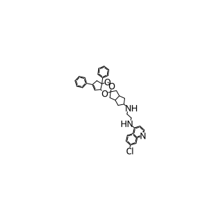 Clc1ccc2c(NCCNC3CC4CC5(CC4C3)OOC3(c4ccccc4)CC(c4ccccc4)=CC3O5)ccnc2c1